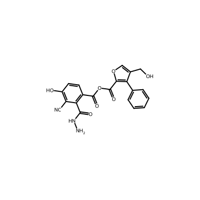 N#Cc1c(O)ccc(C(=O)OC(=O)c2occ(CO)c2-c2ccccc2)c1C(=O)NN